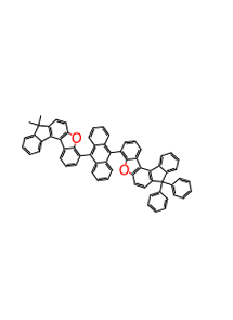 CC1(C)c2ccccc2-c2c1ccc1oc3c(-c4c5ccccc5c(-c5cccc6c5oc5ccc7c(c56)-c5ccccc5C7(c5ccccc5)c5ccccc5)c5ccccc45)cccc3c21